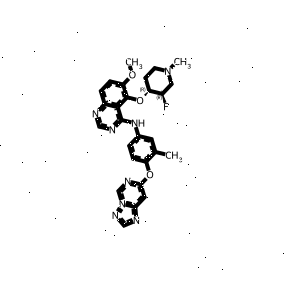 COc1ccc2ncnc(Nc3ccc(Oc4cc5ncnn5cn4)c(C)c3)c2c1O[C@@H]1CCN(C)C[C@H]1F